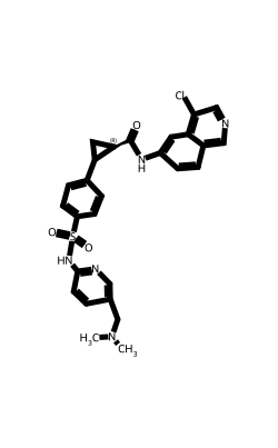 CN(C)Cc1ccc(NS(=O)(=O)c2ccc(C3C[C@H]3C(=O)Nc3ccc4cncc(Cl)c4c3)cc2)nc1